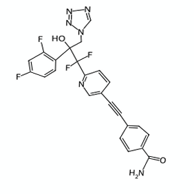 NC(=O)c1ccc(C#Cc2ccc(C(F)(F)C(O)(Cn3cnnn3)c3ccc(F)cc3F)nc2)cc1